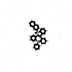 C=P1(c2ccc3ccccc3c2)C2=C(C3=C(CCC=C3)N(c3ccccc3)c3ccccc32)c2ccccc21